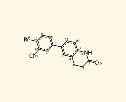 O=C1CCc2cc(-c3ccc(Br)c(Cl)c3)ccc2N1